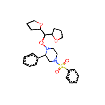 O=S(=O)(c1ccccc1)N1CCN(OC(C2CCCO2)C2CCCO2)C(c2ccccc2)C1